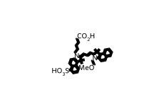 COCC[N+]1=C(/C=C/C=C2/N(CCCCCC(=O)O)c3ccc4c(S(=O)(=O)O)cccc4c3C2(C)C)C(C)(C)c2c1ccc1ccccc21